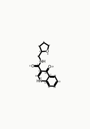 O=C(NCC1CCCO1)c1c[nH]c2ccccc2c1=O